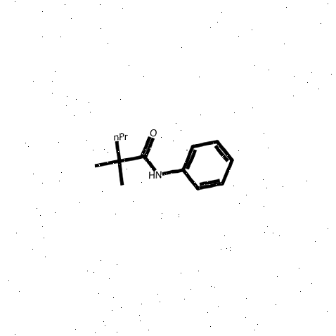 CCCC(C)(C)C(=O)Nc1ccccc1